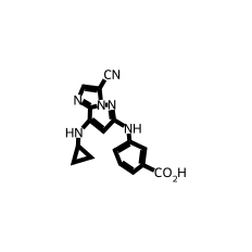 N#Cc1cnc2c(NC3CC3)cc(Nc3cccc(C(=O)O)c3)nn12